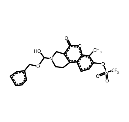 Cc1c(OS(=O)(=O)C(F)(F)F)ccc2c3c(c(=O)oc12)CN(C(O)OCc1ccccc1)CC3